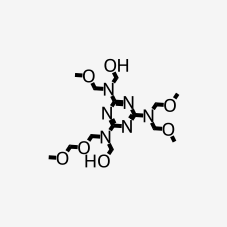 COCOCN(CO)c1nc(N(CO)COC)nc(N(COC)COC)n1